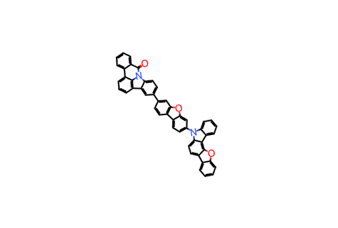 O=c1c2ccccc2c2cccc3c4cc(-c5ccc6c(c5)oc5cc(-n7c8ccccc8c8c9oc%10ccccc%10c9ccc87)ccc56)ccc4n1c23